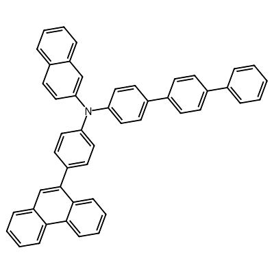 c1ccc(-c2ccc(-c3ccc(N(c4ccc(-c5cc6ccccc6c6ccccc56)cc4)c4ccc5ccccc5c4)cc3)cc2)cc1